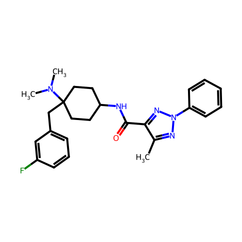 Cc1nn(-c2ccccc2)nc1C(=O)NC1CCC(Cc2cccc(F)c2)(N(C)C)CC1